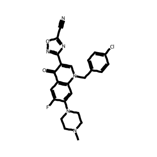 CN1CCN(c2cc3c(cc2F)c(=O)c(-c2noc(C#N)n2)cn3Cc2ccc(Cl)cc2)CC1